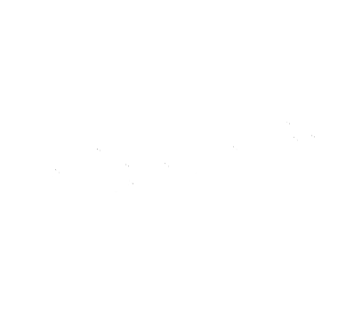 Nc1cnc2c(c1)c(=O)n1n2CCN(c2c(F)cc(N3C[C@H](Cn4ccnn4)OC3=O)cc2F)CC1